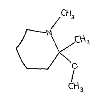 COC1(C)CCCCN1C